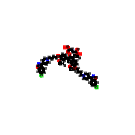 COc1cc(C(C)C(=O)C(C)c2ccc(OCCCCN3CCC(c4noc5cc(Cl)ccc45)CC3)c(OC)c2)ccc1OCCCCN1CCC(c2noc3cc(Cl)ccc23)CC1.O=C(O)/C=C/C(=O)O